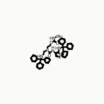 Cn1ncc(NC(=O)N(CCNC(c2ccccc2)(c2ccccc2)c2ccccc2)CCOC(=O)NC(C)(C)C)c1NC(c1ccccc1)(c1ccccc1)c1ccccc1